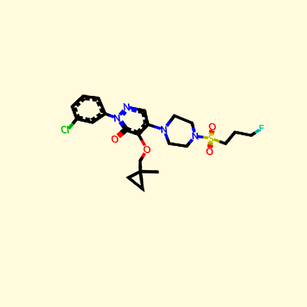 CC1(COc2c(N3CCN(S(=O)(=O)CCCF)CC3)cnn(-c3cccc(Cl)c3)c2=O)CC1